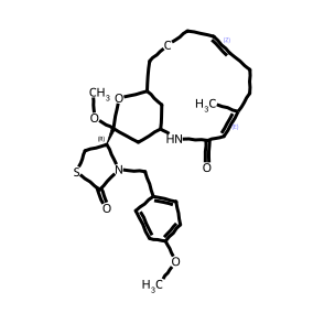 COc1ccc(CN2C(=O)SC[C@H]2C2(OC)CC3CC(CCC/C=C\CC/C(C)=C/C(=O)N3)O2)cc1